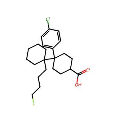 O=C(O)C1CCC(c2ccc(Cl)cc2)(C2(CCCCF)CCCCC2)CC1